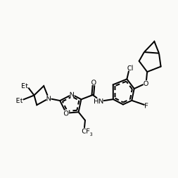 CCC1(CC)CN(c2nc(C(=O)Nc3cc(F)c(OC4CC5CC5C4)c(Cl)c3)c(CC(F)(F)F)o2)C1